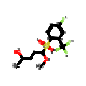 COC(CCC(C)O)S(=O)(=O)c1ccc(F)cc1C(F)(F)F